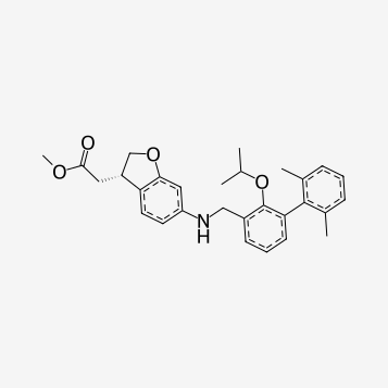 COC(=O)C[C@@H]1COc2cc(NCc3cccc(-c4c(C)cccc4C)c3OC(C)C)ccc21